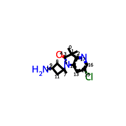 CC1(C)C(=O)N(C2(C)CC(N)C2)c2cc(Cl)cnc21